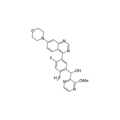 COc1nccnc1C(O)c1cc(-c2ncnc3cc(N4CCOCC4)ccc23)c(F)cc1P